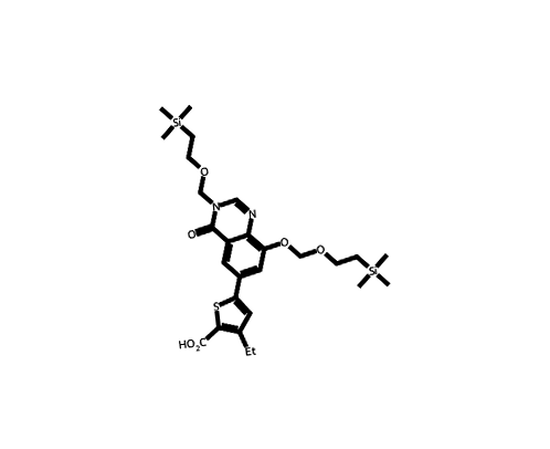 CCc1cc(-c2cc(OCOCC[Si](C)(C)C)c3ncn(COCC[Si](C)(C)C)c(=O)c3c2)sc1C(=O)O